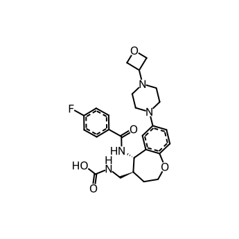 O=C(O)NC[C@@H]1CCOc2ccc(N3CCN(C4COC4)CC3)cc2[C@H]1NC(=O)c1ccc(F)cc1